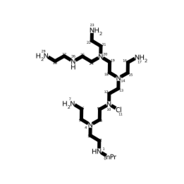 CCCNCCN(CCN)CCN(Cl)CCN(CCN)CCN(CCN)CCNCCN